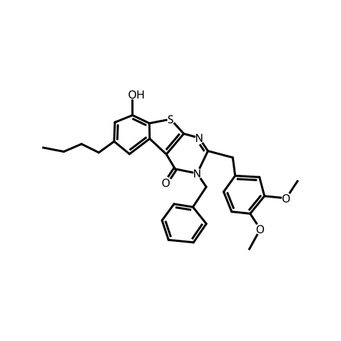 CCCCc1cc(O)c2sc3nc(Cc4ccc(OC)c(OC)c4)n(Cc4ccccc4)c(=O)c3c2c1